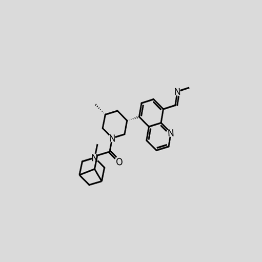 C/N=C/c1ccc([C@H]2C[C@@H](C)CN(C(=O)CC3C4CC3CN(C)C4)C2)c2cccnc12